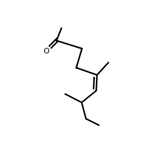 CCC(C)C=C(C)CCC(C)=O